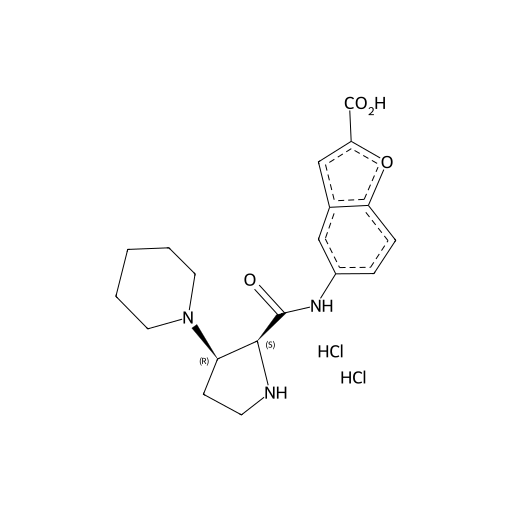 Cl.Cl.O=C(O)c1cc2cc(NC(=O)[C@H]3NCC[C@H]3N3CCCCC3)ccc2o1